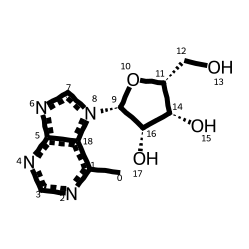 Cc1ncnc2ncn([C@@H]3O[C@H](CO)[C@H](O)[C@@H]3O)c12